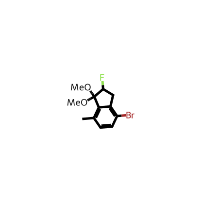 COC1(OC)c2c(C)ccc(Br)c2CC1F